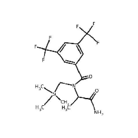 CC(C(N)=O)N(C[Si](C)(C)C)C(=O)c1cc(C(F)(F)F)cc(C(F)(F)F)c1